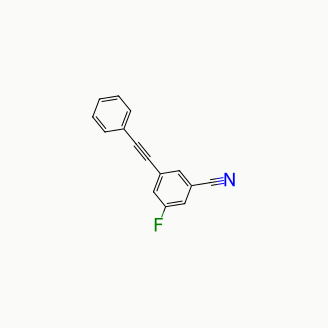 N#Cc1cc(F)cc(C#Cc2ccccc2)c1